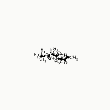 CC(C)C(=O)C(C)(C)NC(=O)C(C)(C)NC(=O)OCC(C)(C)C